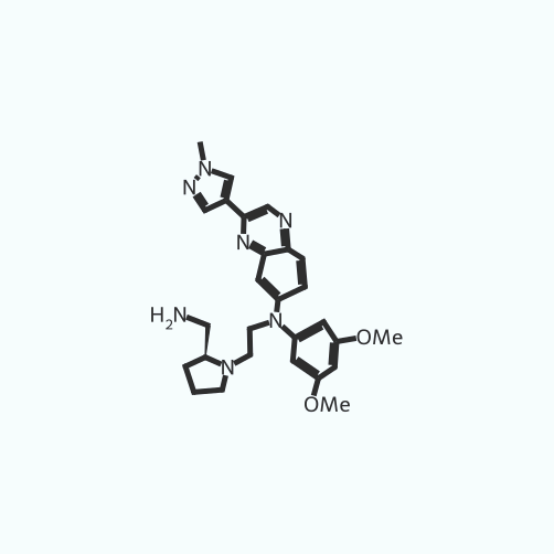 COc1cc(OC)cc(N(CCN2CCC[C@H]2CN)c2ccc3ncc(-c4cnn(C)c4)nc3c2)c1